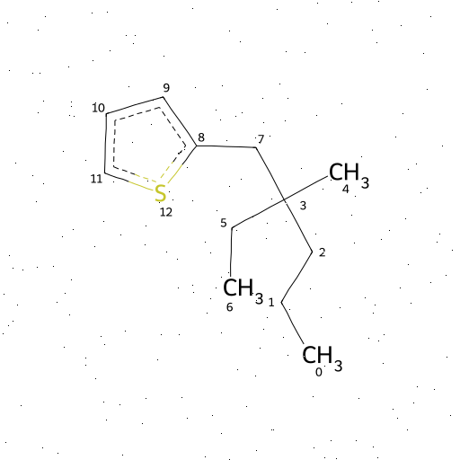 CCCC(C)(CC)Cc1cccs1